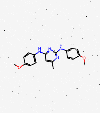 COc1ccc(Nc2cc(C)nc(Nc3ccc(OC)cc3)n2)cc1